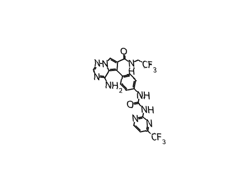 Nc1ncnn2cc(C(=O)NCC(F)(F)F)c(-c3ccc(NC(=O)Nc4nccc(C(F)(F)F)n4)cc3)c12